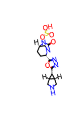 O=C1N2C[C@@H](CC[C@H]2c2nnc([C@H]3[C@@H]4CNC[C@@H]43)o2)N1OS(=O)O